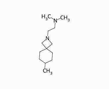 CC1CCC2(CC1)CN(CCN(C)C)C2